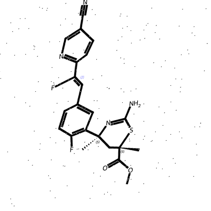 COC(=O)[C@]1(C)C[C@@](C)(c2cc(/C=C(\F)c3ccc(C#N)cn3)ccc2F)N=C(N)S1